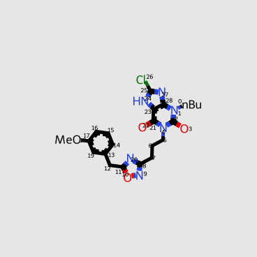 CCCCn1c(=O)n(CCCc2noc(Cc3cccc(OC)c3)n2)c(=O)c2[nH]c(Cl)nc21